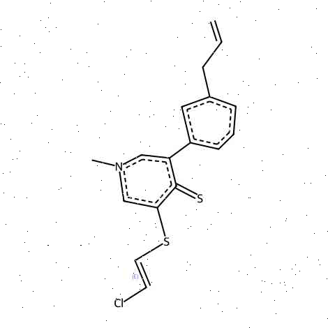 C=CCc1cccc(-c2cn(C)cc(S/C=C/Cl)c2=S)c1